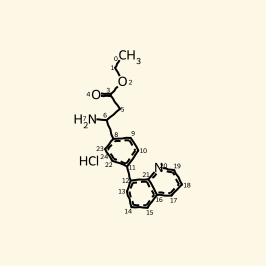 CCOC(=O)CC(N)c1ccc(-c2cccc3cccnc23)cc1.Cl